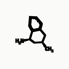 C[C@@H]1Cc2ccccc2[C@H](N)C1